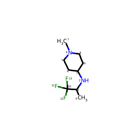 CC(NC1CCN(C)CC1)C(F)(F)F